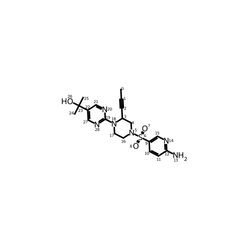 CC#CC1CN(S(=O)(=O)c2ccc(N)nc2)CCN1c1ncc(C(C)(C)O)cn1